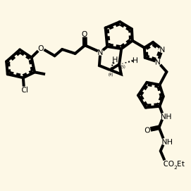 CCOC(=O)CNC(=O)Nc1cccc(Cn2cc(-c3cccc4c3[C@H]3C[C@H]3CN4C(=O)CCCOc3cccc(Cl)c3C)cn2)c1